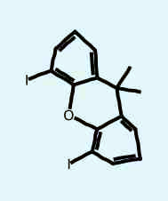 CC1(C)c2cccc(I)c2Oc2c(I)cccc21